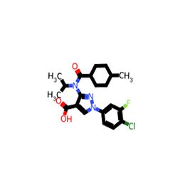 CC1CCC(C(=O)N(c2nn(-c3ccc(Cl)c(F)c3)cc2C(=O)O)C(C)C)CC1